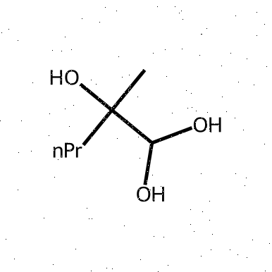 CCCC(C)(O)C(O)O